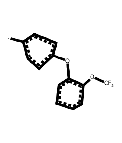 [CH2]c1ccc(Oc2ccccc2OC(F)(F)F)cc1